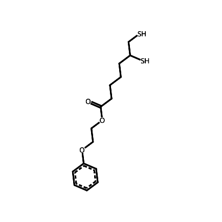 O=C(CCCCC(S)CS)OCCOc1ccccc1